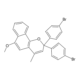 COc1cc2c(c3ccccc13)OC(c1ccc(Br)cc1)(c1ccc(Br)cc1)C=C2C